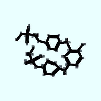 CCS(=O)(=O)NCc1ccc(Nc2nc(Nc3ccc(CS(=O)(=O)NC)cc3)ncc2F)cc1